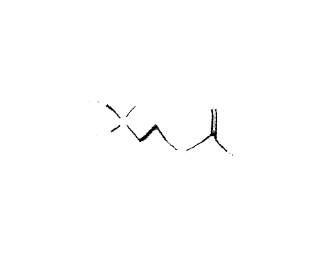 CC(C)C(=O)OCCS(C)(C)C